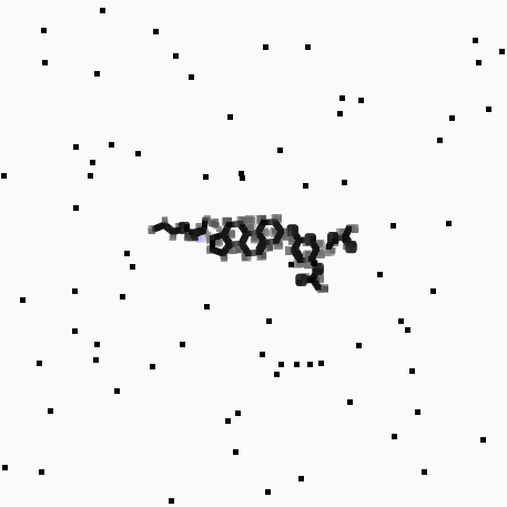 CCCO/N=C(\C)[C@H]1CCC2C3CC=C4C[C@@H](OC5C=C[C@H](OC(C)=O)[C@@H](COC(C)=O)O5)CC[C@]4(C)C3CC[C@@]21C